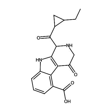 CCC1CC1C(=O)C1NCC(=O)c2c1[nH]c1cccc(C(=O)O)c21